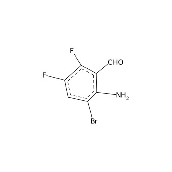 Nc1c(Br)cc(F)c(F)c1C=O